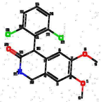 COc1cc2c(cc1OC)C(c1c(Cl)cccc1Cl)C(=O)[N]C2